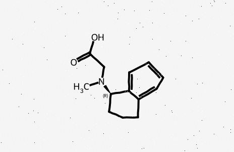 CN(CC(=O)O)[C@@H]1CCCc2ccccc21